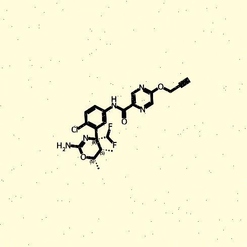 C#CCOc1cnc(C(=O)Nc2ccc(Cl)c([C@]3(C(F)F)N=C(N)O[C@@H](C)[C@H]3C)c2)cn1